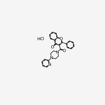 Cl.O=C(c1c(-c2ccccc2)oc2ccccc2c1=O)N1CCN(c2ccccn2)CC1